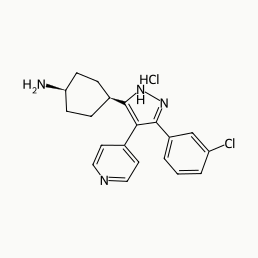 Cl.N[C@H]1CC[C@@H](c2[nH]nc(-c3cccc(Cl)c3)c2-c2ccncc2)CC1